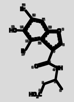 CC(CC(=O)O)NC(=O)c1coc2cc(Br)c(O)c(Br)c12